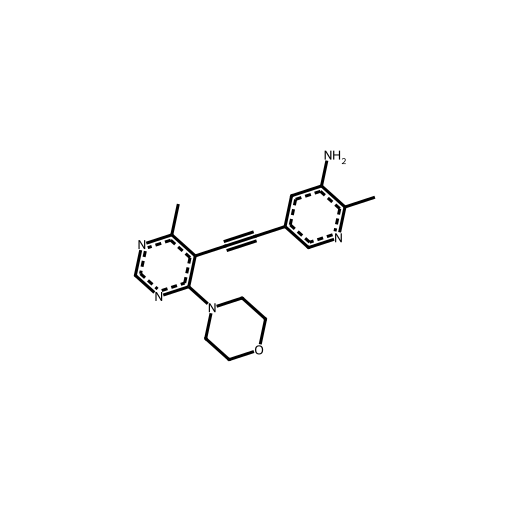 Cc1ncc(C#Cc2c(C)ncnc2N2CCOCC2)cc1N